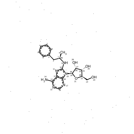 C[C@H](Cc1ccccc1)Nc1nc2c(N)ncnc2n1[C@@H]1O[C@H](CO)[C@@H](O)[C@H]1O